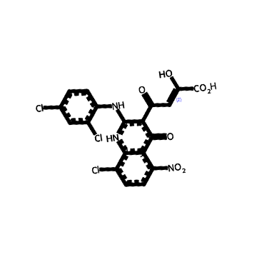 O=C(O)/C(O)=C/C(=O)c1c(Nc2ccc(Cl)cc2Cl)[nH]c2c(Cl)ccc([N+](=O)[O-])c2c1=O